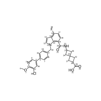 COc1ncc(-c2ccc(Cn3ccc4c(F)ccc(C(=O)NC5CC6(C5)CC(C(=O)O)C6)c43)cc2)cc1Cl